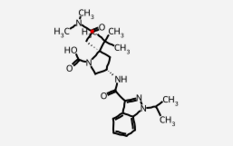 CC(C)n1nc(C(=O)N[C@@H]2CN(C(=O)O)[C@@](CC(=O)N(C)C)(C(C)(C)C)C2)c2ccccc21